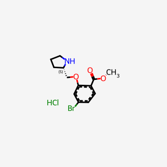 COC(=O)c1ccc(Br)cc1OC[C@@H]1CCCN1.Cl